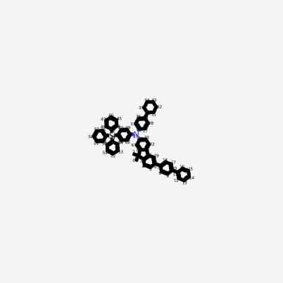 CC1(C)c2ccc(-c3ccc(-c4ccccc4)cc3)cc2-c2ccc(N(c3ccc(C4CCCCC4)cc3)c3ccc([Si](c4ccccc4)(c4ccccc4)c4ccccc4)cc3)cc21